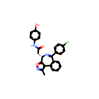 Cc1noc2c1-c1ccccc1C(c1ccc(Cl)cc1)=N[C@H]2CC(=O)Nc1ccc(O)cc1